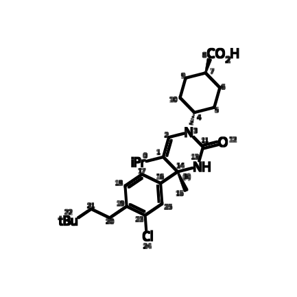 CC(C)C1=CN([C@H]2CC[C@H](C(=O)O)CC2)C(=O)N[C@]1(C)c1ccc(CCC(C)(C)C)c(Cl)c1